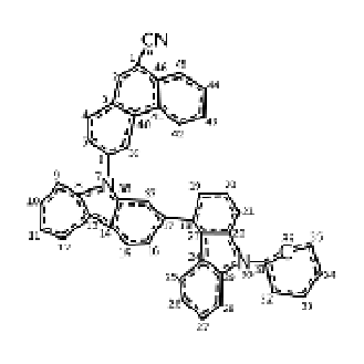 N#Cc1cc2ccc(-n3c4ccccc4c4ccc(-c5cccc6c5c5ccccc5n6-c5ccccc5)cc43)cc2c2ccccc12